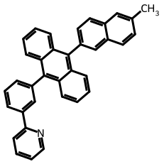 Cc1ccc2cc(-c3c4ccccc4c(-c4cccc(-c5ccccn5)c4)c4ccccc34)ccc2c1